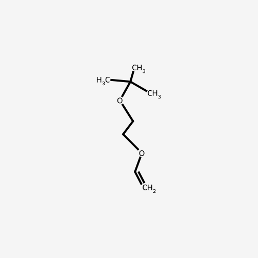 C=COCCOC(C)(C)C